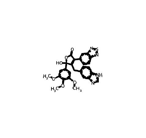 COc1cc(C2(O)OC(=O)C(c3ccc4nsnc4c3)=C2Cc2ccc3[nH]cnc3c2)cc(OC)c1OC